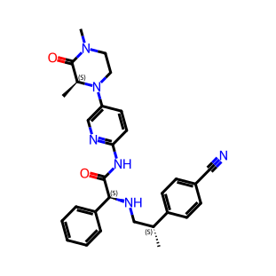 C[C@H](CN[C@H](C(=O)Nc1ccc(N2CCN(C)C(=O)[C@@H]2C)cn1)c1ccccc1)c1ccc(C#N)cc1